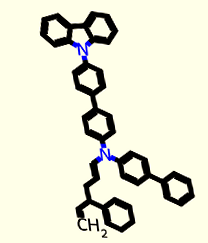 C=CC(C/C=C/N(c1ccc(-c2ccccc2)cc1)c1ccc(-c2ccc(-n3c4ccccc4c4ccccc43)cc2)cc1)C1=CCCC=C1